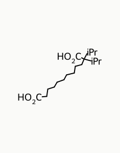 CC(C)C(CCCCCCCCCC(=O)O)(C(=O)O)C(C)C